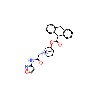 O=C(C[N+]12CCC(CC1)C(OC(=O)C1c3ccccc3Cc3ccccc31)C2)Nc1ccon1